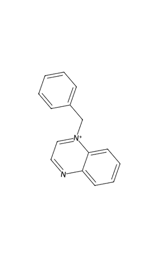 c1ccc(C[n+]2ccnc3ccccc32)cc1